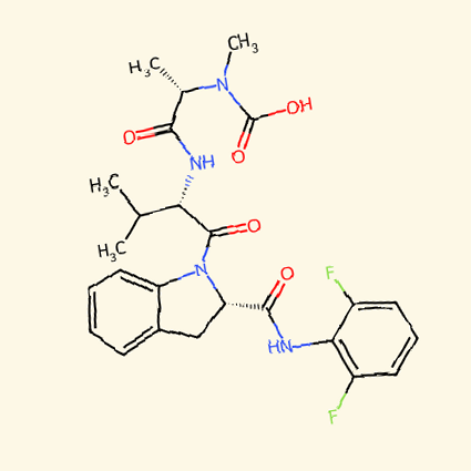 CC(C)[C@H](NC(=O)[C@H](C)N(C)C(=O)O)C(=O)N1c2ccccc2C[C@H]1C(=O)Nc1c(F)cccc1F